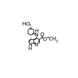 CCOC(=O)c1cnc2[nH]ccc2c1N[C@@H]1CCC[C@H](CO)C1